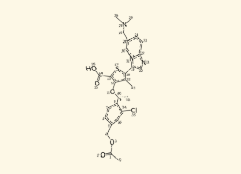 CC(=O)OCc1ccc([C@@H](C)Oc2c(C(=O)O)sc(-c3cnc4ccc(CN(C)C)cn34)c2C)c(Cl)c1